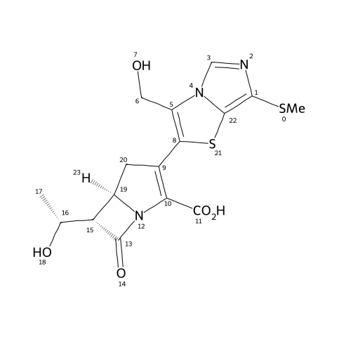 CSc1ncn2c(CO)c(C3=C(C(=O)O)N4C(=O)[C@H]([C@@H](C)O)[C@H]4C3)sc12